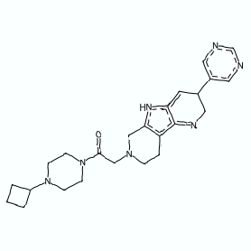 O=C(CN1CCc2c([nH]c3c2=NCC(c2cncnc2)C=3)C1)N1CCN(C2CCC2)CC1